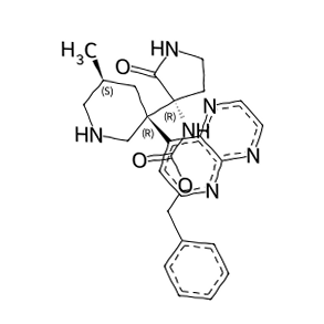 C[C@@H]1CNC[C@@](c2ccnc3nccnc23)([C@]2(NC(=O)OCc3ccccc3)CCNC2=O)C1